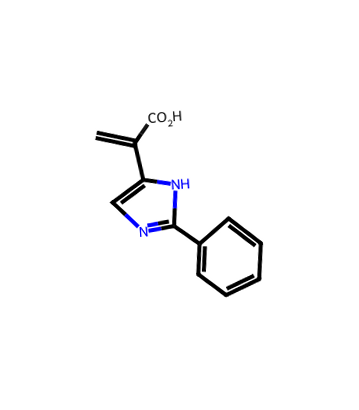 C=C(C(=O)O)c1cnc(-c2ccccc2)[nH]1